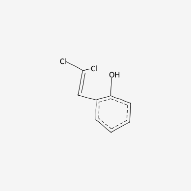 Oc1ccccc1C=C(Cl)Cl